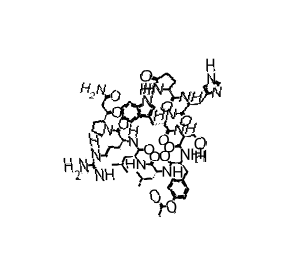 CC(=O)Oc1ccc(C[C@H](NC(=O)[C@H](CO)NC(=O)[C@H](Cc2c[nH]c3ccccc23)NC(=O)[C@H](Cc2c[nH]cn2)NC(=O)[C@@H]2CCC(=O)N2)C(=O)N[C@H](CC(C)C)C(=O)N[C@@H](CC(C)C)C(=O)N[C@@H](CCCNC(=N)N)C(=O)N2CCC[C@H]2C(=O)CC(N)=O)cc1